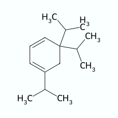 CC(C)C1=CC=CC(C(C)C)(C(C)C)C1